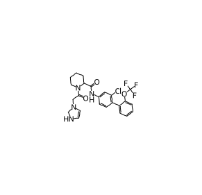 O=C(Nc1ccc(-c2ccccc2OC(F)(F)F)c(Cl)c1)C1CCCCN1C(=O)CN1C=CNC1